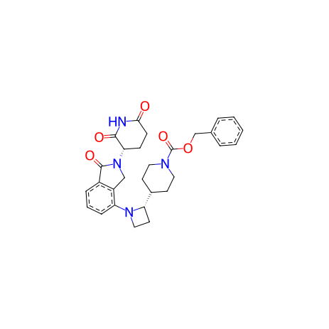 O=C1CC[C@H](N2Cc3c(cccc3N3CC[C@H]3C3CCN(C(=O)OCc4ccccc4)CC3)C2=O)C(=O)N1